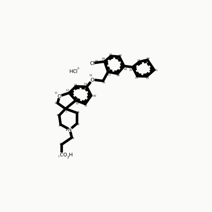 Cl.O=C(O)CCN1CCC2(CC1)COc1cc(OCc3cc(-c4ccccc4)ccc3Cl)ccc12